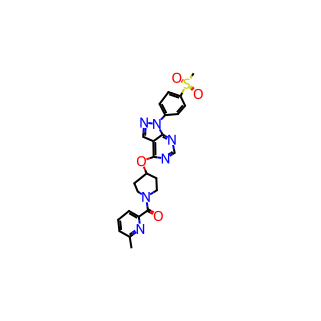 Cc1cccc(C(=O)N2CCC(Oc3ncnc4c3cnn4-c3ccc(S(C)(=O)=O)cc3)CC2)n1